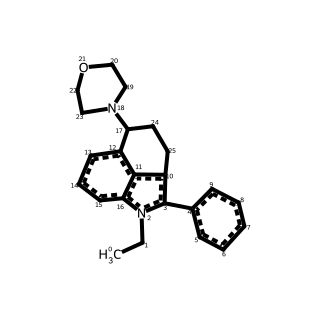 CCn1c(-c2ccccc2)c2c3c(cccc31)C(N1CCOCC1)CC2